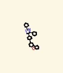 c1ccc(-c2ncc(-c3ccc(-c4ccc5oc6ccccc6c5c4)cc3)c(-c3ccccc3)n2)cc1